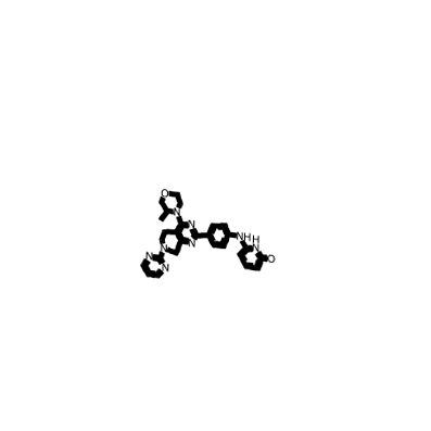 CC1COCCN1c1nc(-c2ccc(Nc3cccc(=O)[nH]3)cc2)nc2c1CCN(c1ncccn1)C2